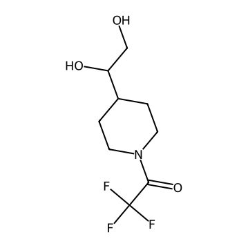 O=C(N1CCC(C(O)CO)CC1)C(F)(F)F